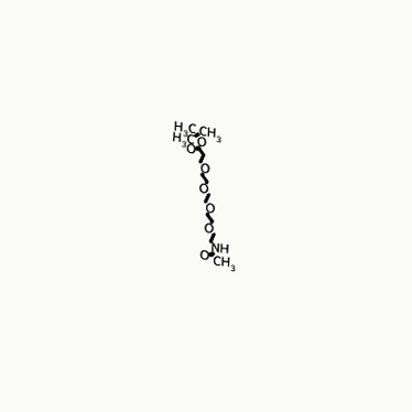 CC(=O)NCCOCCOCCOCCOCCC(=O)OC(C)(C)C